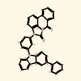 O=c1c2ccccc2c2cccc3c2n1c(=O)n3-c1cccc(-n2c3ccccc3c3cc(-c4ccccc4)ccc32)c1